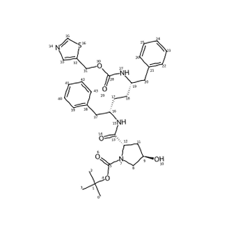 CC(C)(C)OC(=O)N1C[C@H](O)C[C@H]1C(=O)N[C@@H](CC[C@@H](Cc1ccccc1)NC(=O)OCc1cncs1)Cc1ccccc1